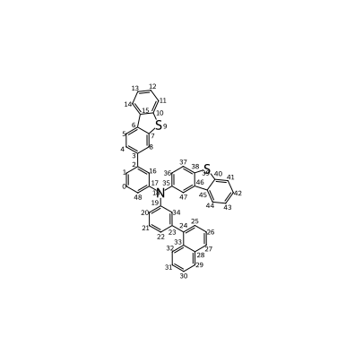 c1cc(-c2ccc3c(c2)sc2ccccc23)cc(N(c2cccc(-c3cccc4ccccc34)c2)c2ccc3sc4ccccc4c3c2)c1